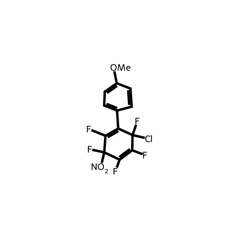 COc1ccc(C2=C(F)C(F)([N+](=O)[O-])C(F)=C(F)C2(F)Cl)cc1